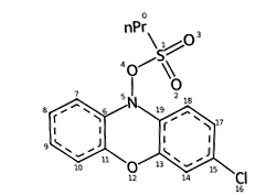 CCCS(=O)(=O)ON1c2ccccc2Oc2cc(Cl)ccc21